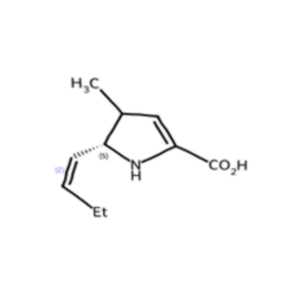 CC/C=C\[C@H]1NC(C(=O)O)=CC1C